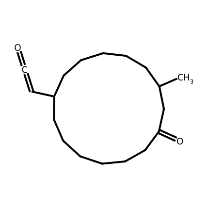 CC1CCCCCC(C=C=O)CCCCCCC(=O)C1